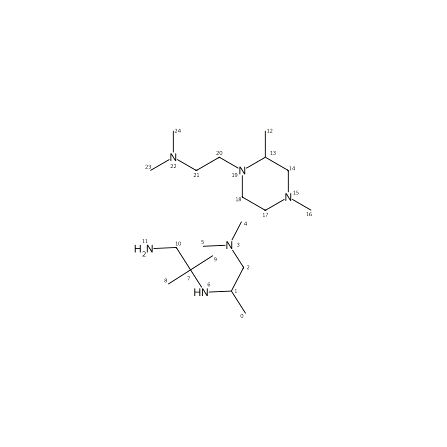 CC(CN(C)C)NC(C)(C)CN.CC1CN(C)CCN1CCN(C)C